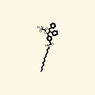 CCCCCCCCCCCCNC(=O)c1ccc(C(OC(=O)C(N)=O)C(Cc2ccccc2)c2ccccc2)cc1